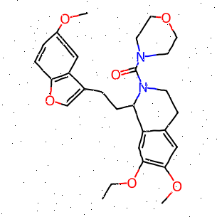 CCOc1cc2c(cc1OC)CCN(C(=O)N1CCOCC1)C2CCc1coc2ccc(OC)cc12